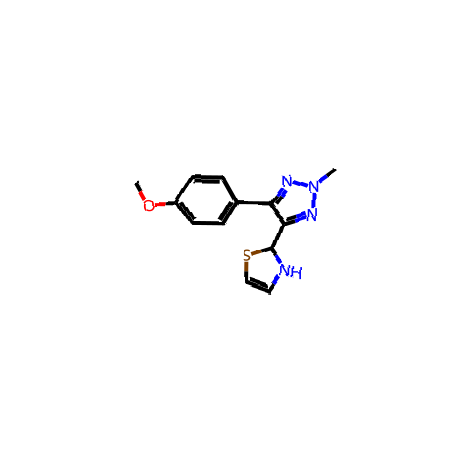 COc1ccc(-c2nn(C)nc2C2NC=CS2)cc1